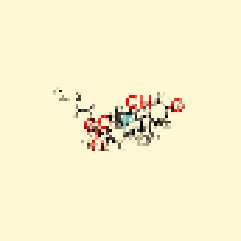 CCCCCC(=O)O[C@]1(C(=O)OC)[C@@H](C)C[C@H]2[C@@H]3CCC4=CC(=O)C=C[C@]4(C)[C@@]3(F)[C@@H](O)C[C@@]21C